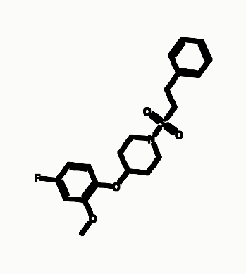 COc1cc(F)ccc1OC1CCN(S(=O)(=O)CCc2ccccc2)CC1